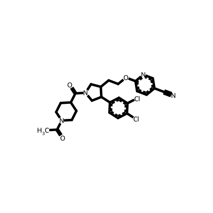 CC(=O)N1CCC(C(=O)N2CC(CCOc3ccc(C#N)cn3)C(c3ccc(Cl)c(Cl)c3)C2)CC1